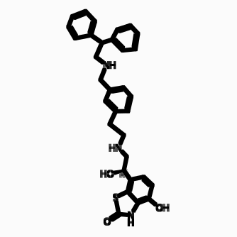 O=c1[nH]c2c(O)ccc([C@@H](O)CNCCc3cccc(CNCC(c4ccccc4)c4ccccc4)c3)c2s1